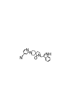 N#Cc1ccnc(N2CCC3(CCN(Cc4c[nH]c5ccccc45)C3=O)CC2)c1